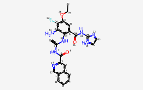 C=C(NC(=O)c1cc2ccccc2cn1)Nc1c(C(=O)Nc2ncc[nH]2)cc(OCC)c(F)c1N